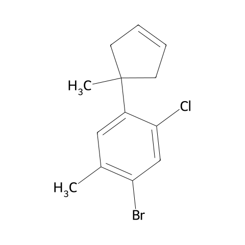 Cc1cc(C2(C)CC=CC2)c(Cl)cc1Br